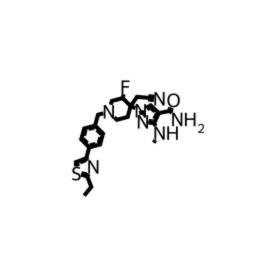 CCc1nc(-c2ccc(CN3CCC(CC#N)(n4cc(C(N)=O)c(NC)n4)C(F)C3)cc2)cs1